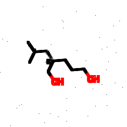 C[C](C)C[C@@H](CO)CCCO